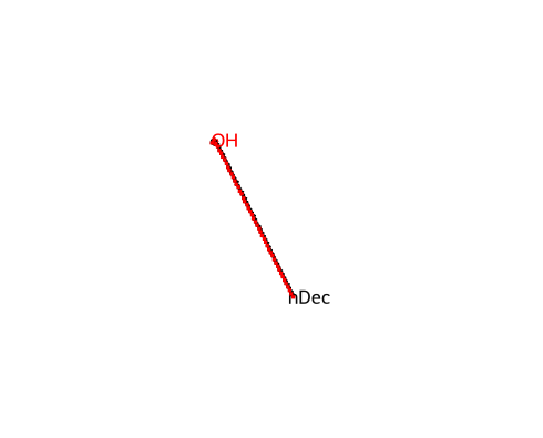 CCCCCCCCCCCCCCCCCCCCCCCCCCCCCCCCCCCCCCCCCCCCCCCCCCCCCCCCCCCCCCCCCCCCCCCCCCCCCCCCCCCCCCCCCCCCCCCCCCCc1ccccc1O